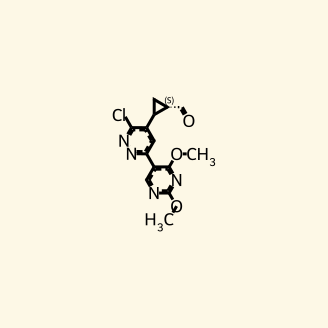 COc1ncc(-c2cc(C3C[C@@H]3C=O)c(Cl)nn2)c(OC)n1